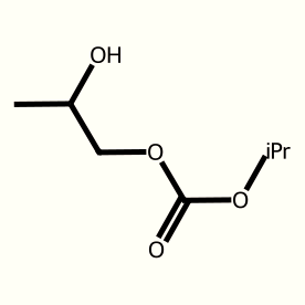 CC(O)COC(=O)OC(C)C